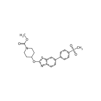 COC(=O)N1CCC(Oc2nc3ccc(-c4ccc(S(C)(=O)=O)cc4)cc3s2)CC1